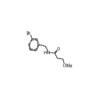 COCCC(=O)NCc1cccc(Br)c1